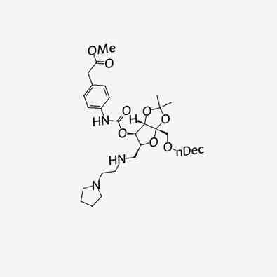 CCCCCCCCCCOC[C@@]12O[C@@H](CNCCN3CCCC3)[C@@H](OC(=O)Nc3ccc(CC(=O)OC)cc3)[C@@H]1OC(C)(C)O2